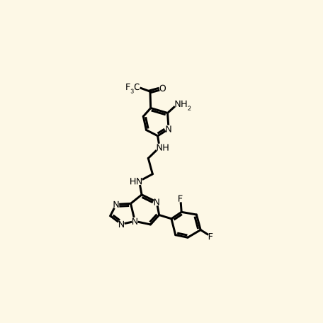 Nc1nc(NCCNc2nc(-c3ccc(F)cc3F)cn3ncnc23)ccc1C(=O)C(F)(F)F